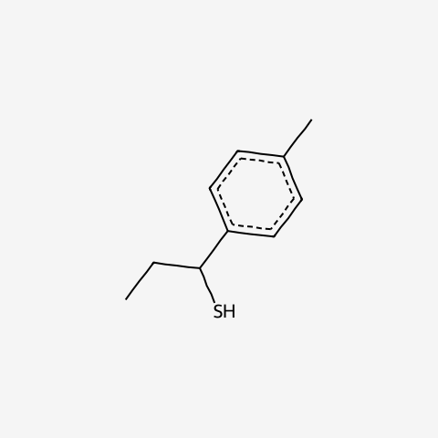 CCC(S)c1ccc(C)cc1